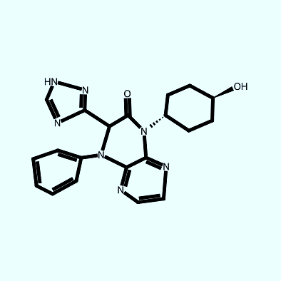 O=C1C(c2nc[nH]n2)N(c2ccccc2)c2nccnc2N1[C@H]1CC[C@H](O)CC1